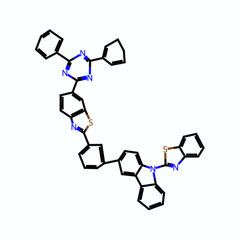 C1=CC(c2nc(-c3ccccc3)nc(-c3ccc4nc(-c5cccc(-c6ccc7c(c6)c6ccccc6n7-c6nc7ccccc7s6)c5)sc4c3)n2)=CCC1